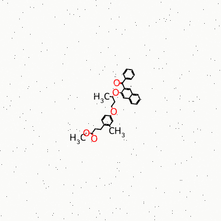 COC(=O)CCc1ccc(OCCC(C)Oc2cc3ccccc3cc2C(=O)c2ccccc2)cc1C